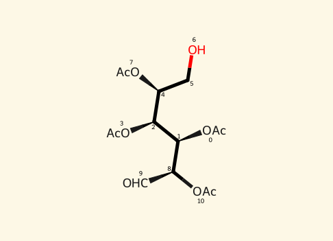 CC(=O)O[C@H]([C@@H](OC(C)=O)[C@H](CO)OC(C)=O)[C@H](C=O)OC(C)=O